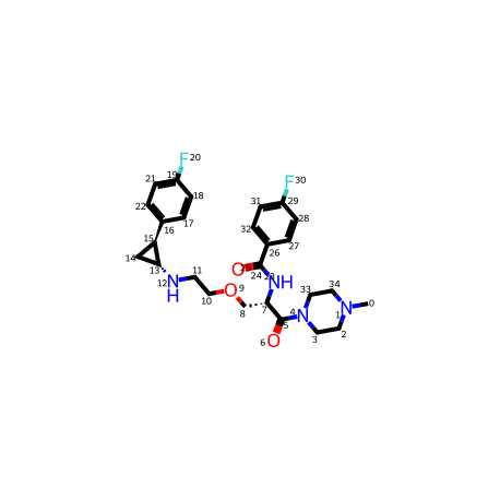 CN1CCN(C(=O)[C@H](COCCN[C@@H]2C[C@H]2c2ccc(F)cc2)NC(=O)c2ccc(F)cc2)CC1